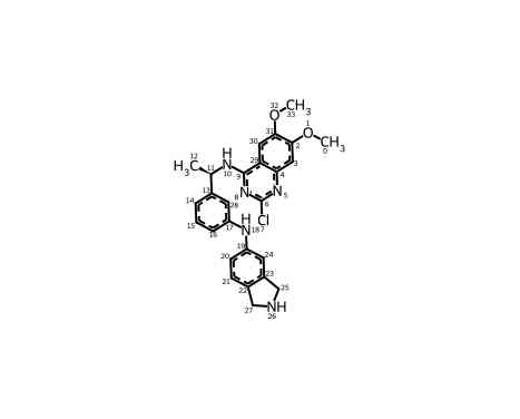 COc1cc2nc(Cl)nc(N[C@H](C)c3cccc(Nc4ccc5c(c4)CNC5)c3)c2cc1OC